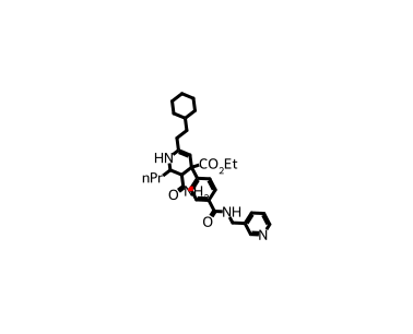 CCCC1NC(CCC2CCCCC2)=CC(C(=O)OCC)(c2ccc(C(=O)NCc3cccnc3)cc2)C1C(N)=O